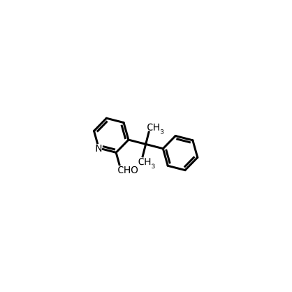 CC(C)(c1ccccc1)c1cccnc1C=O